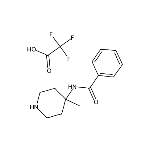 CC1(NC(=O)c2ccccc2)CCNCC1.O=C(O)C(F)(F)F